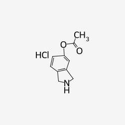 CC(=O)Oc1ccc2c(c1)CNC2.Cl